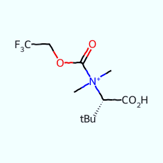 CC(C)(C)[C@@H](C(=O)O)[N+](C)(C)C(=O)OCC(F)(F)F